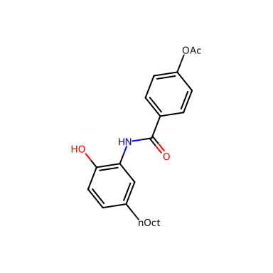 CCCCCCCCc1ccc(O)c(NC(=O)c2ccc(OC(C)=O)cc2)c1